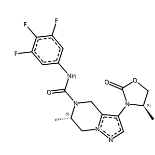 C[C@@H]1COC(=O)N1c1cnn2c1CN(C(=O)Nc1cc(F)c(F)c(F)c1)[C@@H](C)C2